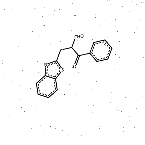 O=CC(Cc1nc2ccccc2s1)C(=O)c1ccccc1